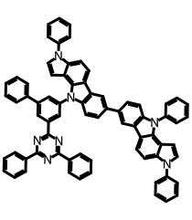 c1ccc(-c2cc(-c3nc(-c4ccccc4)nc(-c4ccccc4)n3)cc(-n3c4ccc(-c5ccc6c(c5)c5ccc7c(ccn7-c7ccccc7)c5n6-c5ccccc5)cc4c4ccc5c(ccn5-c5ccccc5)c43)c2)cc1